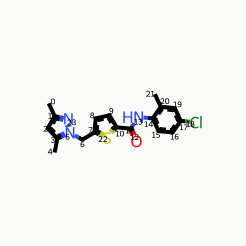 Cc1cc(C)n(Cc2ccc(C(=O)Nc3ccc(Cl)cc3C)s2)n1